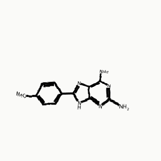 CNc1nc(N)nc2[nH]c(-c3ccc(OC)cc3)nc12